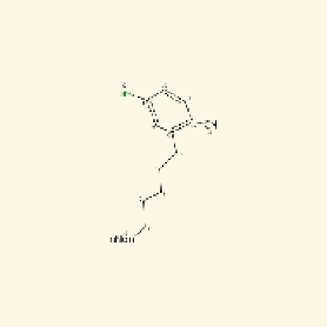 CCCCCCCCCCCCCCc1cc(Br)ccc1C#N